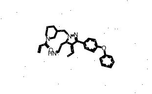 C=CC(=O)N1CCCC(CN2N=C(c3ccc(Oc4ccccc4)cc3)/C(=C/C)C2CC=N)C1